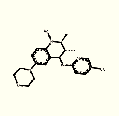 CC(=O)N1c2ccc(N3CCOCC3)cc2C(Nc2ccc(C#N)cn2)[C@@H](C)[C@@H]1C